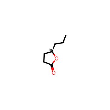 CCC[C@@H]1CCC(=O)O1